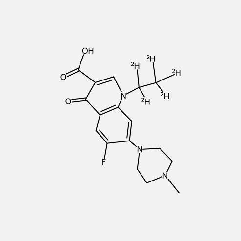 [2H]C([2H])([2H])C([2H])([2H])n1cc(C(=O)O)c(=O)c2cc(F)c(N3CCN(C)CC3)cc21